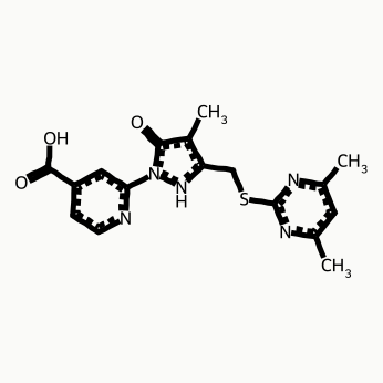 Cc1cc(C)nc(SCc2[nH]n(-c3cc(C(=O)O)ccn3)c(=O)c2C)n1